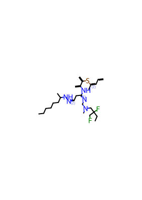 C=C/C=C(/C)SC(=C)C(=C)N/C(C/C=N\NC(C)CCCCCC)=N/CN(C)CC(F)(CC)CF